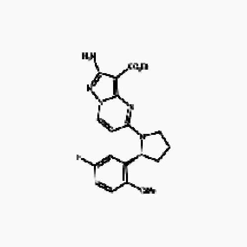 CCOC(=O)c1c(N)nn2ccc(N3CCC[C@H]3c3cc(F)ccc3OC)nc12